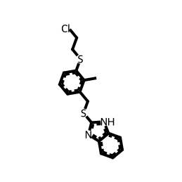 Cc1c(CSc2nc3ccccc3[nH]2)cccc1SCCCl